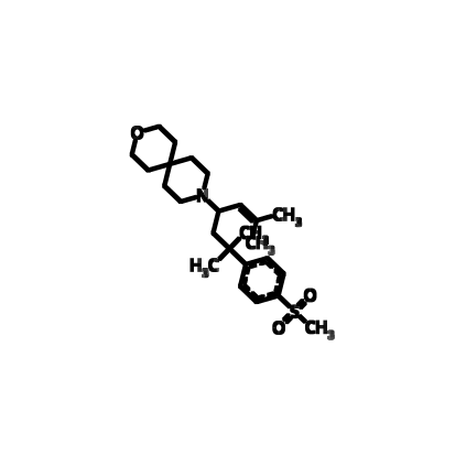 CC(C)=CC(CC(C)(C)c1ccc(S(C)(=O)=O)cc1)N1CCC2(CCOCC2)CC1